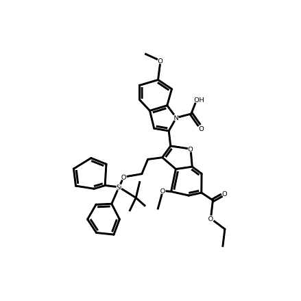 CCOC(=O)c1cc(OC)c2c(CCO[Si](c3ccccc3)(c3ccccc3)C(C)(C)C)c(-c3cc4ccc(OC)cc4n3C(=O)O)oc2c1